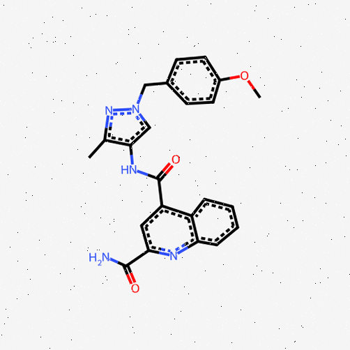 COc1ccc(Cn2cc(NC(=O)c3cc(C(N)=O)nc4ccccc34)c(C)n2)cc1